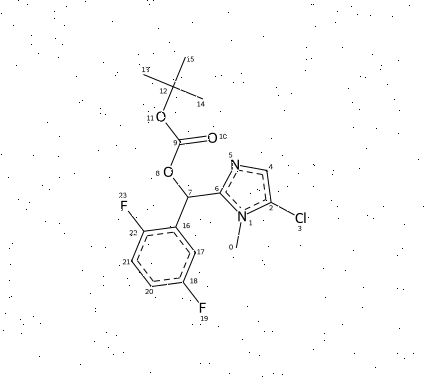 Cn1c(Cl)cnc1C(OC(=O)OC(C)(C)C)c1cc(F)ccc1F